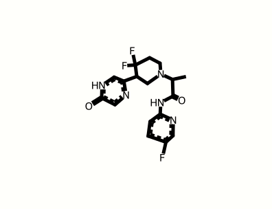 CC(C(=O)Nc1ccc(F)cn1)N1CCC(F)(F)C(c2c[nH]c(=O)cn2)C1